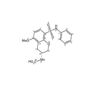 COc1ccc(S(=O)(=O)Nc2ccccc2)c2c1C[C@@H](NC(=O)O)CO2